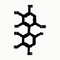 CC(=O)c1cc(O)c(O)c(O)c1-c1c(C=O)cc(O)c(O)c1O